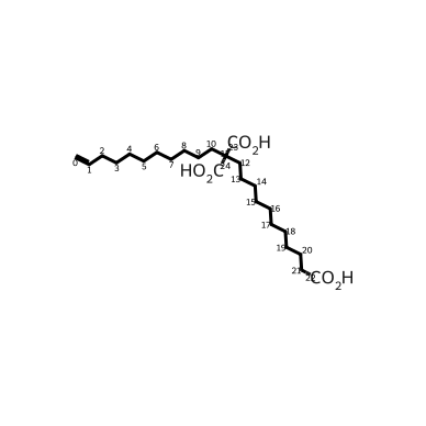 C=CCCCCCCCCCC(CCCCCCCCCCC(=O)O)(C(=O)O)C(=O)O